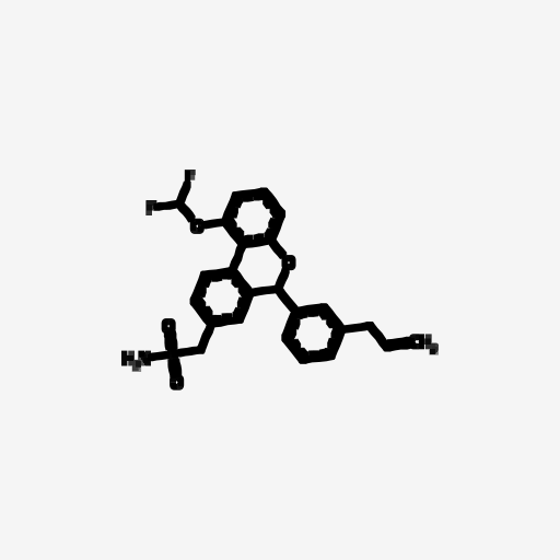 C=CCc1cccc(C2Oc3cccc(OC(F)F)c3-c3ccc(CS(N)(=O)=O)cc32)c1